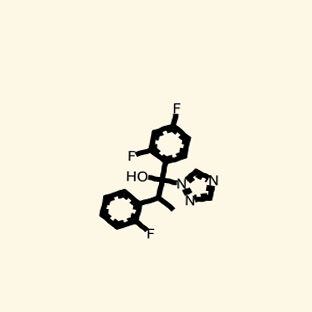 CC(c1ccccc1F)C(O)(c1ccc(F)cc1F)n1cncn1